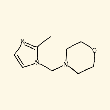 Cc1nccn1CN1CCOCC1